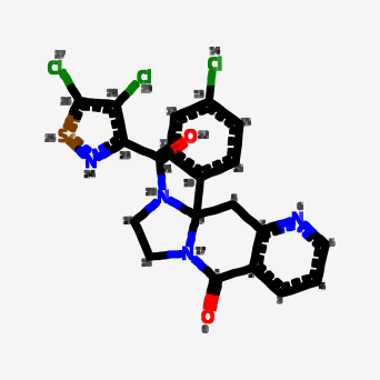 O=C1c2cccnc2CC2(c3ccc(Cl)cc3)N1CCN2C(=O)c1nsc(Cl)c1Cl